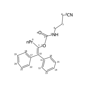 CCCC(OC(=O)NCCCC#N)=C(c1ccccc1)c1ccccc1